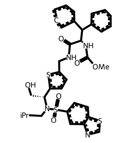 COC(=O)N[C@H](C(=O)NCc1ccc([C@@H](CO)N(CC(C)C)S(=O)(=O)c2ccc3scnc3c2)s1)C(c1ccccc1)c1ccccc1